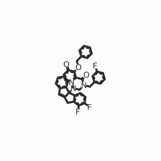 O=C1c2c(OCc3ccccc3)c(=O)ccn2N(C23C(=Cc4ccccc42)Cc2c3ccc(F)c2F)CN1Cc1cccc(F)c1